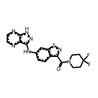 O=C(c1nsc2cc(Nc3n[nH]c4nccnc34)ccc12)N1CCC(F)(F)CC1